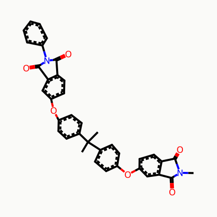 CN1C(=O)c2ccc(Oc3ccc(C(C)(C)c4ccc(Oc5ccc6c(c5)C(=O)N(c5ccccc5)C6=O)cc4)cc3)cc2C1=O